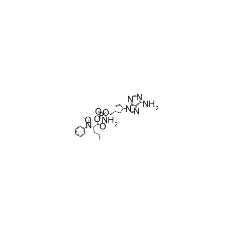 CC[C@H](C)[C@@H](C(=O)OP(N)(=O)OC[C@H]1C=C[C@@H](n2cnc3c(N)ncnc32)C1)N(OC)c1ccccc1